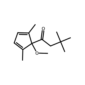 COC1(C(=O)CC(C)(C)C)C(C)=CC=C1C